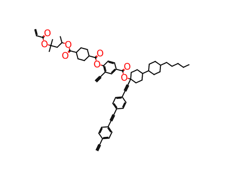 C#Cc1ccc(C#Cc2ccc(C#CC3(OC(=O)c4ccc(OC(=O)C5CCC(C(=O)OC(C)CC(C)(C)OC(=O)C=C)CC5)c(C#C)c4)CCC(C4CCC(CCCCC)CC4)CC3)cc2)cc1